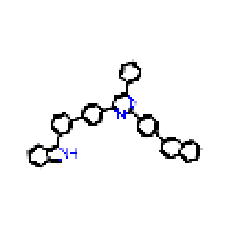 c1ccc(-c2cc(-c3ccc(-c4cccc(-c5[nH]cc6ccccc56)c4)cc3)nc(-c3ccc(-c4ccc5ccccc5c4)cc3)n2)cc1